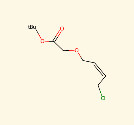 CC(C)(C)OC(=O)COC/C=C\CCl